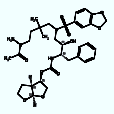 CC(=O)N(N)CCC(C)(C)CN(C[C@@H](O)[C@H](Cc1ccccc1)NC(=O)O[C@H]1CO[C@H]2OCC[C@H]21)S(=O)(=O)c1ccc2c(c1)OCO2